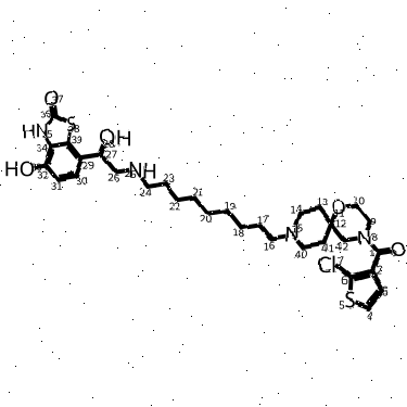 O=C(c1ccsc1Cl)N1CCOC2(CCN(CCCCCCCCCNCC(O)c3ccc(O)c4[nH]c(=O)sc34)CC2)C1